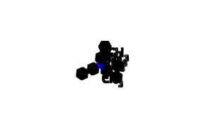 Cc1cc(N(c2ccc(-c3ccccc3)cc2)c2ccc3c(c2)C(C)(C)c2ccccc2-3)c(C)cc1-c1ccccc1-c1ccccc1